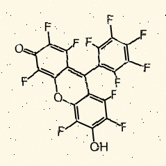 O=c1c(F)c2oc3c(F)c(O)c(F)c(F)c3c(-c3c(F)c(F)c(F)c(F)c3F)c-2c(F)c1F